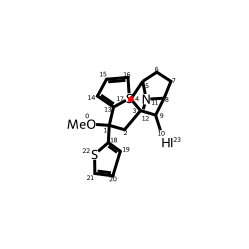 COC(CC1CC2CCC(C1C)N2C)(c1cccs1)c1cccs1.I